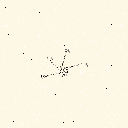 CCCCCCCCCCOOc1c(O)c(C(=O)O)c(CCCCCCCCCC)c(CCCCCCCCCC)c1OCCCCCCCCCC